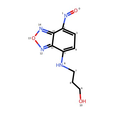 O=Nc1ccc(NCCCO)c2nonc12